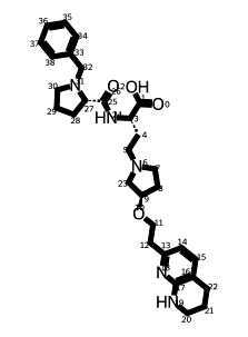 O=C(O)[C@H](CCN1CC[C@@H](OCCc2ccc3c(n2)NCCC3)C1)NC(=O)[C@@H]1CCCN1Cc1ccccc1